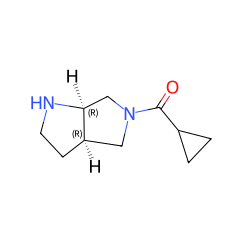 O=C(C1CC1)N1C[C@H]2CCN[C@H]2C1